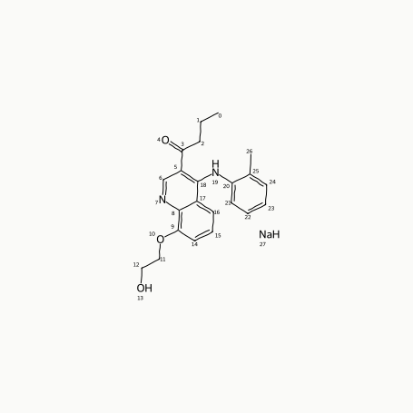 CCCC(=O)c1cnc2c(OCCO)cccc2c1Nc1ccccc1C.[NaH]